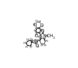 CN1C(=O)C2(COc3cc4c(cc32)OCCO4)C2=C(NC(=O)c3ccccc3)CCC=C21